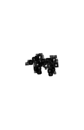 CCC1C(OS(C)(=O)=O)=NN(c2ncccc2Cl)C1C(=O)O.CCOC(=O)C1CC(OS(C)(=O)=O)=NN1c1ncccc1Cl